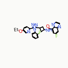 CCOc1ccc(-c2nnc(C3CC(NC(=O)c4cc(F)cc5nccnc45)C3)n2-c2ccccc2F)nc1